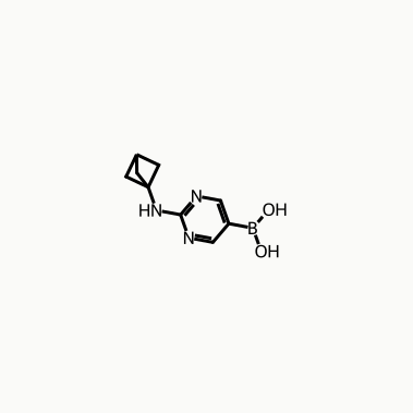 OB(O)c1cnc(NC23CC(C2)C3)nc1